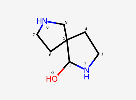 OC1NCCC12CCNC2